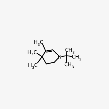 CC1=CN(C(C)(C)C)CCC1(C)C